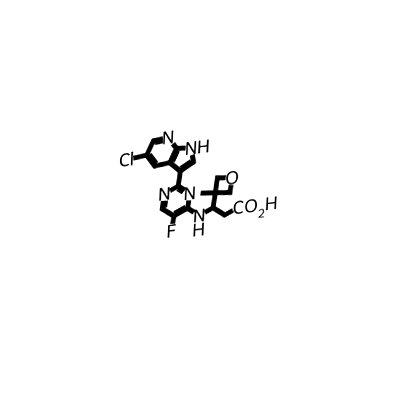 CC1(C(CC(=O)O)Nc2nc(-c3c[nH]c4ncc(Cl)cc34)ncc2F)COC1